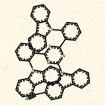 N#Cc1ccc2c3ccccc3n(-c3nc(-c4ccccc4-n4c5ccccc5c5ccccc54)nc(-c4ccccc4-n4c5ccccc5c5ccccc54)n3)c2c1